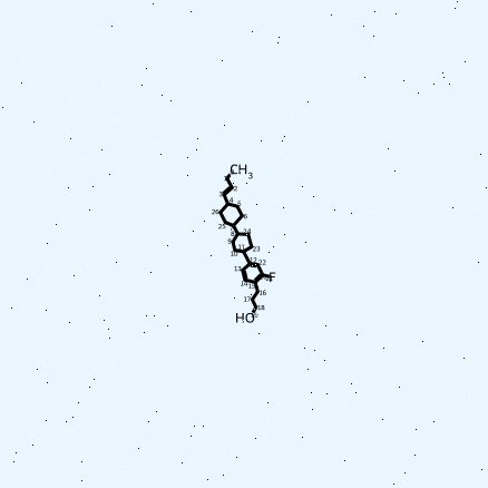 CC/C=C/C1CCC(C2CCC(c3ccc(CCCO)c(F)c3)CC2)CC1